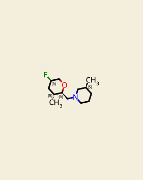 C[C@H]1CCCN(C[C@@H]2OC[C@H](F)C[C@H]2C)C1